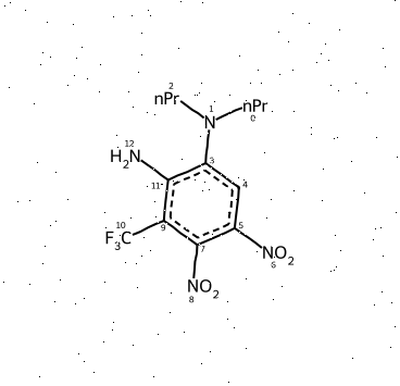 CCCN(CCC)c1cc([N+](=O)[O-])c([N+](=O)[O-])c(C(F)(F)F)c1N